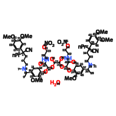 CCCC(C#N)(CCCN(C)C(C)c1ccc(OC(OC(=O)C(=O)OC(Oc2ccc(C(C)N(C)CCCC(C#N)(CCC)c3ccc(OC)c(OC)c3)cc2OC)C(=O)NCCO[N+](=O)[O-])C(=O)NCCO[N+](=O)[O-])c(OC)c1)c1ccc(OC)c(OC)c1.O